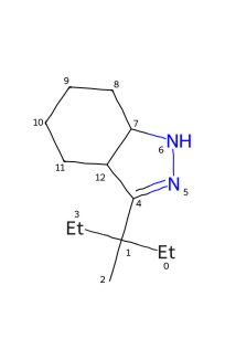 CCC(C)(CC)C1=NNC2CCCCC12